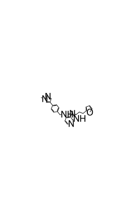 Cn1cc(-c2ccc(CNc3ccnc4[nH]c(CCc5ccco5)nc34)cc2)cn1